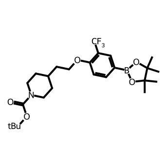 CC(C)(C)OC(=O)N1CCC(CCOc2ccc(B3OC(C)(C)C(C)(C)O3)cc2C(F)(F)F)CC1